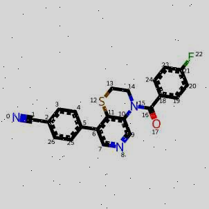 N#Cc1ccc(-c2cncc3c2SCCN3C(=O)c2ccc(F)cc2)cc1